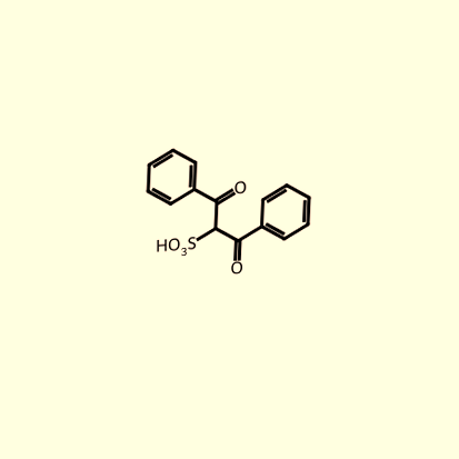 O=C(c1ccccc1)C(C(=O)c1ccccc1)S(=O)(=O)O